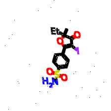 CCC1(C)OC(c2ccc(S(N)(=O)=O)cc2)=C(I)C1=O